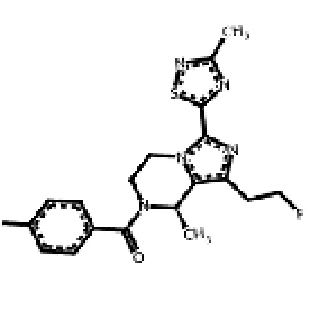 Cc1nsc(-c2nc(CCF)c3n2CCN(C(=O)c2ccc(F)cc2)[C@@H]3C)n1